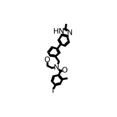 Cc1nc2ccc(-c3ccc4c(c3)CN(C(=O)c3ccc(I)cc3C)CCO4)cc2[nH]1